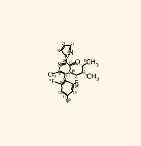 CC[C@H](C)Cn1c(-c2c(F)cc(F)cc2F)c(Cl)nc(-n2cccn2)c1=O